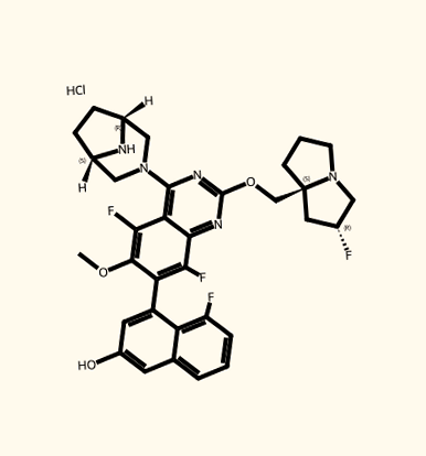 COc1c(-c2cc(O)cc3cccc(F)c23)c(F)c2nc(OC[C@@]34CCCN3C[C@H](F)C4)nc(N3C[C@H]4CC[C@@H](C3)N4)c2c1F.Cl